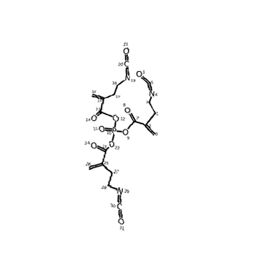 C=C(CCN=C=O)C(=O)OP(=O)(OC(=O)C(=C)CCN=C=O)OC(=O)C(=C)CCN=C=O